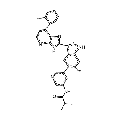 CC(C)C(=O)Nc1cncc(-c2cc3c(-c4nc5c(-c6ccccc6F)ccnc5[nH]4)n[nH]c3cc2F)c1